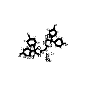 Cc1ccc(C2(c3ccc(C)cc3)OC(CC3=N[C@H](C(C)(C)C)C(c4ccc(C)cc4)(c4ccc(C)cc4)O3)=N[C@@H]2C(C)(C)C)cc1.[Br-].[Br-].[Ni+2]